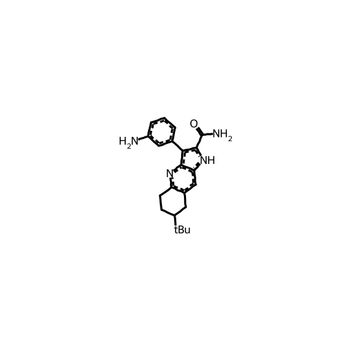 CC(C)(C)C1CCc2nc3c(-c4cccc(N)c4)c(C(N)=O)[nH]c3cc2C1